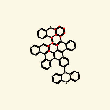 c1ccc2c(c1)Sc1ccccc1N2c1ccc2c(-c3ccccc3-c3cccc4ccccc34)c3cc(N4c5ccccc5Sc5ccccc54)ccc3c(-c3ccccc3-c3cccc4ccccc34)c2c1